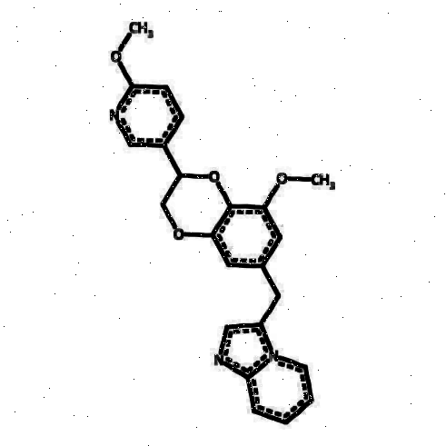 COc1ccc(C2COc3cc(Cc4cnc5ccccn45)cc(OC)c3O2)cn1